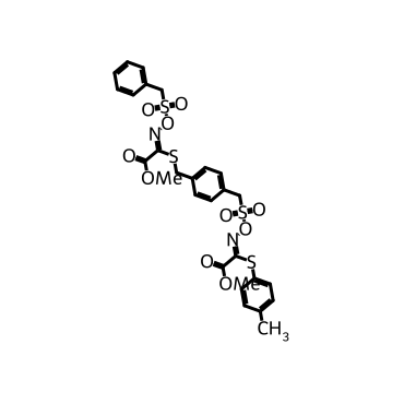 COC(=O)/C(=N/OS(=O)(=O)Cc1ccccc1)SCc1ccc(CS(=O)(=O)O/N=C(\Sc2ccc(C)cc2)C(=O)OC)cc1